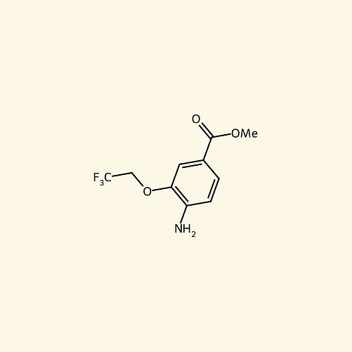 COC(=O)c1ccc(N)c(OCC(F)(F)F)c1